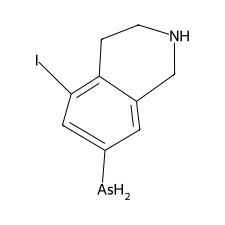 [AsH2]c1cc(I)c2c(c1)CNCC2